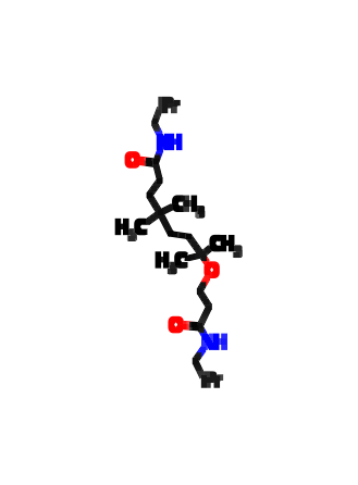 CC(C)CNC(=O)CCOC(C)(C)CCC(C)(C)CCC(=O)NCC(C)C